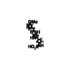 COc1cc(CC(=O)Nc2cc([C@@H]3CC[C@H](NC(=O)O)C3)[nH]n2)ccn1